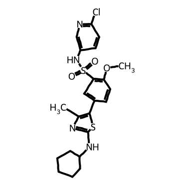 COc1ccc(-c2sc(NC3CCCCC3)nc2C)cc1S(=O)(=O)Nc1ccc(Cl)nc1